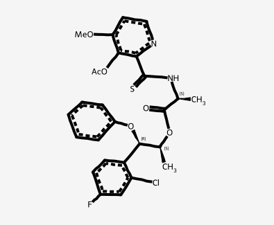 COc1ccnc(C(=S)N[C@@H](C)C(=O)O[C@@H](C)[C@H](Oc2ccccc2)c2ccc(F)cc2Cl)c1OC(C)=O